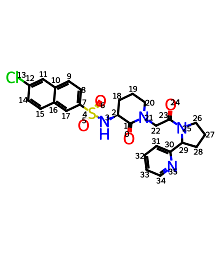 O=C1[C@@H](NS(=O)(=O)c2ccc3cc(Cl)ccc3c2)CCCN1CC(=O)N1CCCC1c1ccccn1